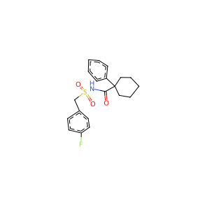 O=C(NS(=O)(=O)Cc1ccc(F)cc1)C1(c2ccccc2)CCCCC1